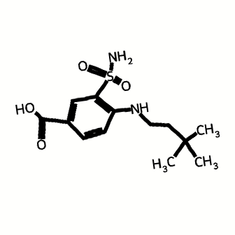 CC(C)(C)CCNc1ccc(C(=O)O)cc1S(N)(=O)=O